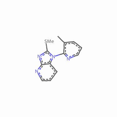 CSc1nc2ncccc2n1-c1ncccc1C